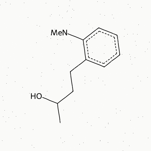 CNc1ccccc1CCC(C)O